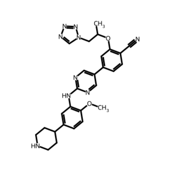 COc1ccc(C2CCNCC2)cc1Nc1ncc(-c2ccc(C#N)c(OC(C)Cn3cnnn3)c2)cn1